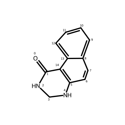 O=C1NCNc2ccc3ccccc3c21